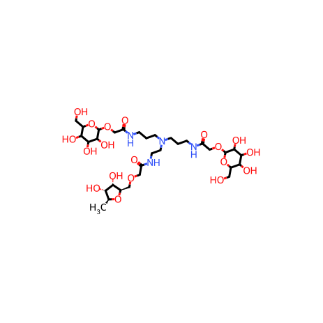 C[C@@H]1O[C@H](COCC(=O)NCCN(CCCNC(=O)COC2OC(CO)C(O)C(O)C2O)CCCNC(=O)COC2OC(CO)C(O)C(O)C2O)[C@@H](O)[C@H]1O